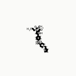 CCCn1c(=O)n(C)c(=O)c2[nH]c(-c3ccc(S(=O)(=O)NC4CCN(Cc5cccs5)CC4)cc3)cc21